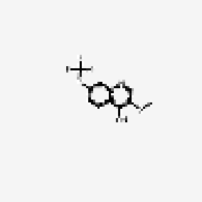 CSc1cnc2cc(OC(F)(F)F)ccc2c1O